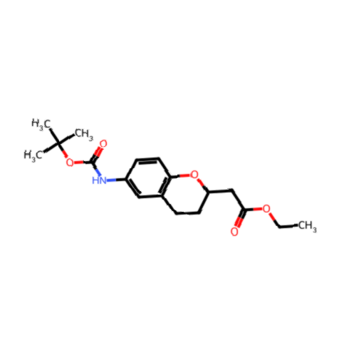 CCOC(=O)CC1CCc2cc(NC(=O)OC(C)(C)C)ccc2O1